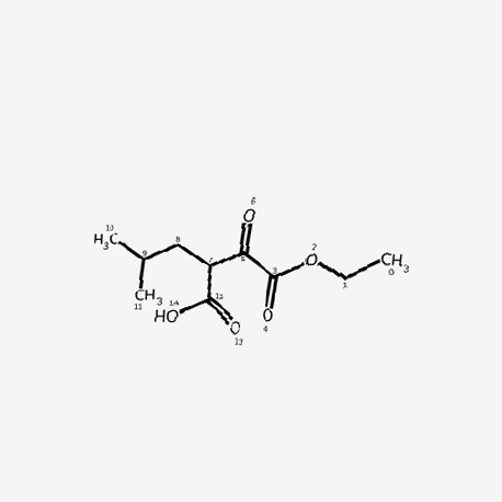 CCOC(=O)C(=O)C(CC(C)C)C(=O)O